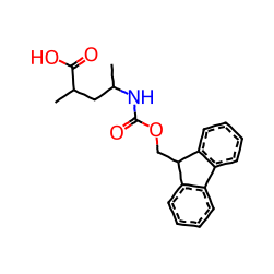 CC(CC(C)C(=O)O)NC(=O)OCC1c2ccccc2-c2ccccc21